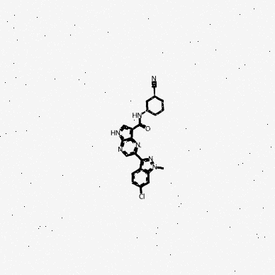 Cn1nc(-c2cnc3[nH]cc(C(=O)N[C@@H]4CCC[C@H](C#N)C4)c3n2)c2ccc(Cl)cc21